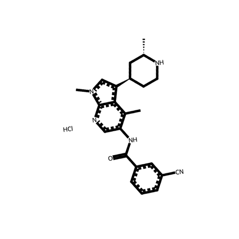 Cc1c(NC(=O)c2cccc(C#N)c2)cnc2c1c([C@@H]1CCN[C@@H](C)C1)cn2C.Cl